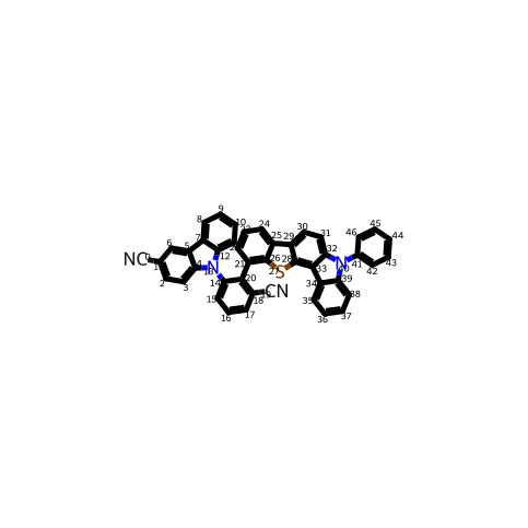 N#Cc1ccc2c(c1)c1ccccc1n2-c1cccc(C#N)c1-c1cccc2c1sc1c2ccc2c1c1ccccc1n2-c1ccccc1